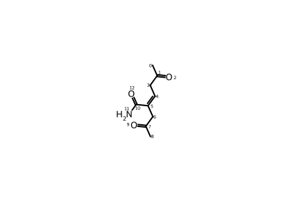 CC(=O)CC=C(CC(C)=O)C(N)=O